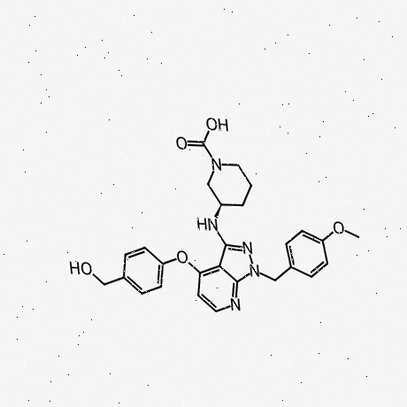 COc1ccc(Cn2nc(N[C@@H]3CCCN(C(=O)O)C3)c3c(Oc4ccc(CO)cc4)ccnc32)cc1